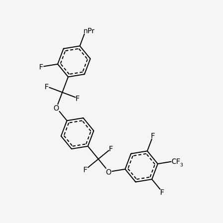 CCCc1ccc(C(F)(F)Oc2ccc(C(F)(F)Oc3cc(F)c(C(F)(F)F)c(F)c3)cc2)c(F)c1